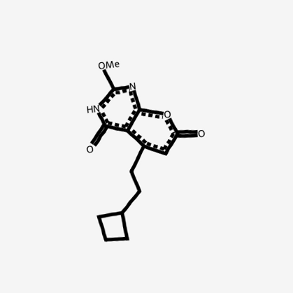 COc1nc2oc(=O)cc(CCC3CCC3)c2c(=O)[nH]1